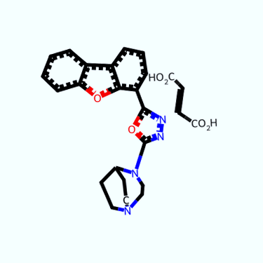 O=C(O)/C=C/C(=O)O.c1ccc2c(c1)oc1c(-c3nnc(N4CCN5CCC4CC5)o3)cccc12